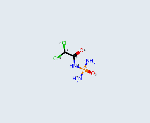 NP(N)(=O)NC(=O)C(Cl)Cl